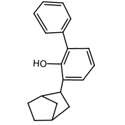 Oc1c(-c2ccccc2)cccc1C1CC2CCC1C2